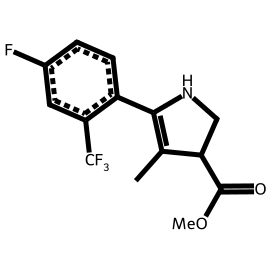 COC(=O)C1CNC(c2ccc(F)cc2C(F)(F)F)=C1C